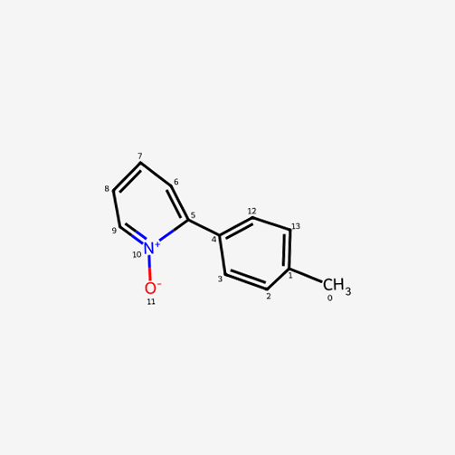 Cc1ccc(-c2cccc[n+]2[O-])cc1